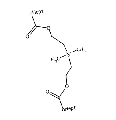 CCCCCCCC(=O)OCC[N+](C)(C)CCOC(=O)CCCCCCC